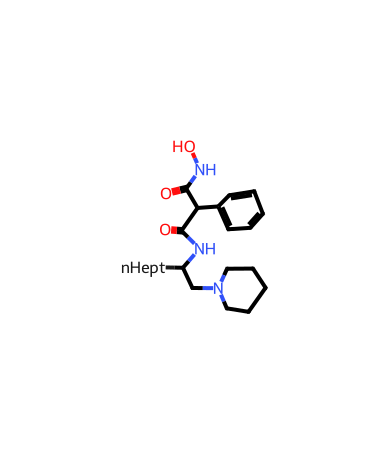 CCCCCCCC(CN1CCCCC1)NC(=O)C(C(=O)NO)c1ccccc1